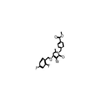 COC(=O)c1ccc(Cn2c(C)cc(OCc3ccc(F)cc3F)c(Br)c2=O)cc1